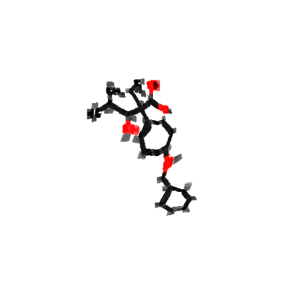 CCC(C(=O)O)(c1ccc(OCc2ccccc2)cc1)C(O)C(C)C